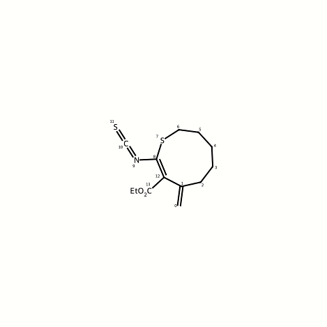 C=C1CCCCCS/C(N=C=S)=C\1C(=O)OCC